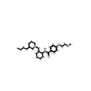 CCCCC1CCCN(CC2CCCCC2NC(=O)c2ccc(OCCOC)cc2)C1